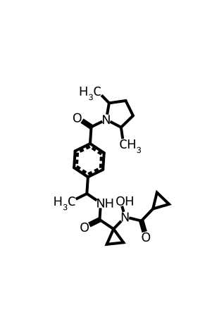 CC(NC(=O)C1(N(O)C(=O)C2CC2)CC1)c1ccc(C(=O)N2C(C)CCC2C)cc1